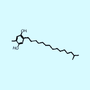 Cc1cc(O)c(CCCCCCCCCCCCCC(C)C)cc1O